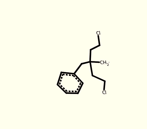 [CH2]C(CCCl)(CCCl)Cc1ccccc1